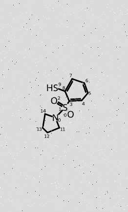 O=S(=O)(c1ccccc1S)N1CCCC1